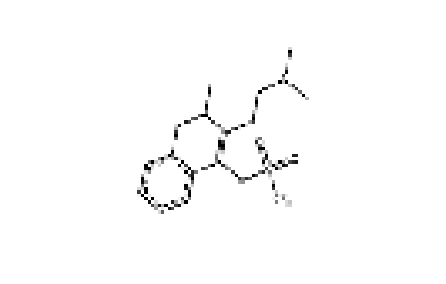 CC1Cc2ccccc2C(OS(=O)(=O)C(F)(F)F)=C1CCN(C)C